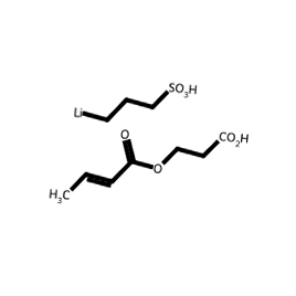 CC=CC(=O)OCCC(=O)O.[Li][CH2]CCS(=O)(=O)O